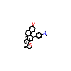 C=C1CCO[C@]12CC[C@H]1[C@@H]3CCC4=CC(=O)CCC4=C3C(c3ccc(N(C)C)cc3)C[C@@]12C